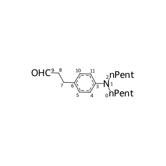 CCCCCN(CCCCC)c1ccc(CCC=O)cc1